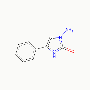 Nn1cc(-c2ccccc2)[nH]c1=O